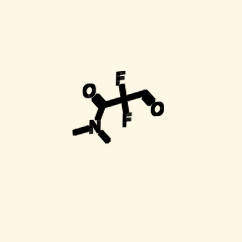 CN(C)C(=O)C(F)(F)C=O